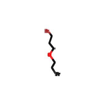 CC(C)CCO[CH]CCBr